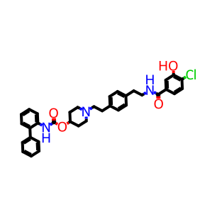 O=C(Nc1ccccc1-c1ccccc1)OC1CCN(CCc2ccc(CCNC(=O)c3ccc(Cl)c(O)c3)cc2)CC1